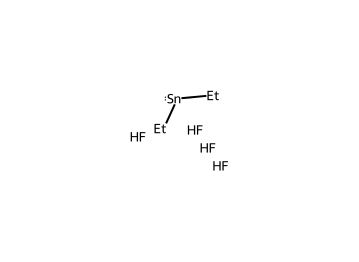 C[CH2][Sn][CH2]C.F.F.F.F